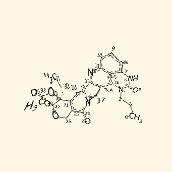 CCCN1C(=O)Nc2cccc3nc4c(c1c23)Cn1c-4cc2c(c1=O)COC(=O)[C@@]2(CC)OC(C)=O